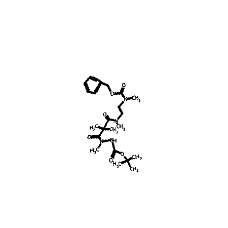 CN(CCN(C)C(=O)C(C)(C)C(=O)N(C)NC(=O)OC(C)(C)C)C(=O)OCc1ccccc1